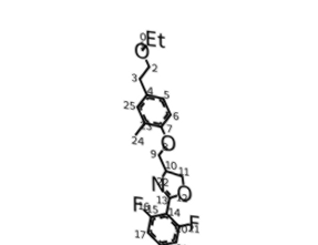 CCOCCc1ccc(OCC2COC(c3c(F)cccc3F)=N2)c(C)c1